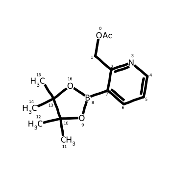 CC(=O)OCc1ncccc1B1OC(C)(C)C(C)(C)O1